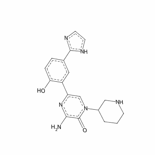 Nc1nc(-c2cc(-c3ncc[nH]3)ccc2O)cn(C2CCCNC2)c1=O